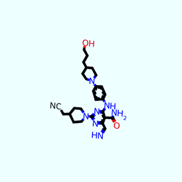 N#CCC1CCN(c2nc(C=N)c(C(N)=O)c(Nc3ccc(N4CCC(CCCO)CC4)cc3)n2)CC1